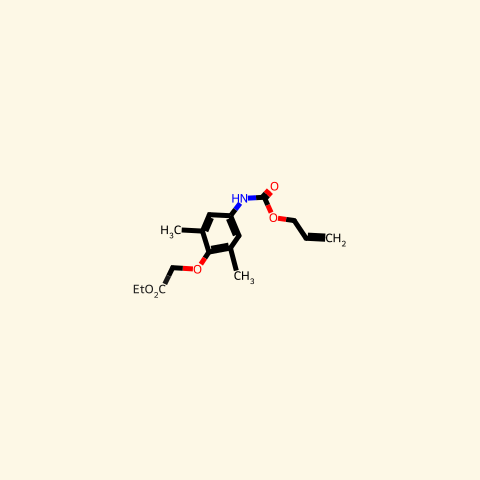 C=CCOC(=O)Nc1cc(C)c(OCC(=O)OCC)c(C)c1